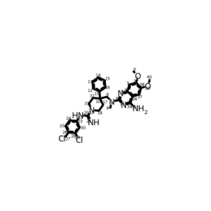 COc1cc2nc(N(C)CC3(c4ccccc4)CCN(C(=N)Nc4ccc(Cl)c(Cl)c4)CC3)nc(N)c2cc1OC